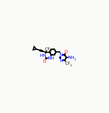 Nc1c(C(F)(F)F)ncn(Cc2ccc3c(c2)NC(=O)NC3(C#CC2CC2)C(F)(F)F)c1=O